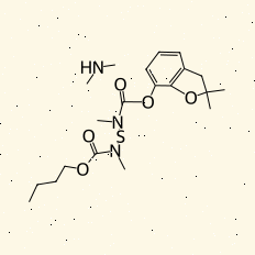 CCCCOC(=O)N(C)SN(C)C(=O)Oc1cccc2c1OC(C)(C)C2.CNC